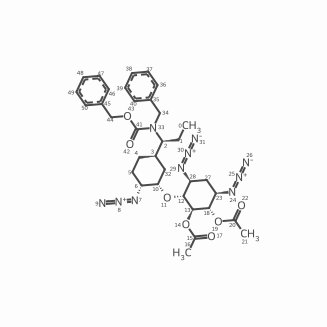 CC[C@@H]([C@@H]1CC[C@@H](N=[N+]=[N-])[C@@H](O[C@H]2[C@H](OC(C)=O)[C@@H](OC(C)=O)[C@H](N=[N+]=[N-])C[C@@H]2N=[N+]=[N-])C1)N(Cc1ccccc1)C(=O)OCc1ccccc1